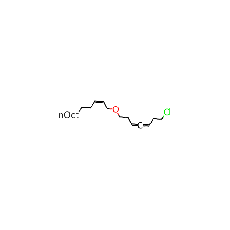 CCCCCCCCCC/C=C\COCCC=C=CCCCl